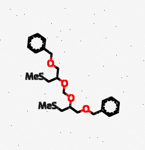 CSCC(COCc1ccccc1)OCOC(COCc1ccccc1)CSC